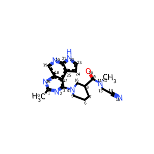 Cc1nc(N2CCCC(C(=O)N(C)CC#N)C2)c2c(cnc3[nH]ccc32)n1